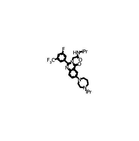 CC(C)NC(=O)Cn1c(-c2cc(F)cc(C(F)(F)F)c2)nc2ccc(N3CCCN(C(C)C)CC3)cc2c1=O